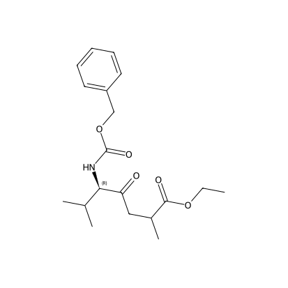 CCOC(=O)C(C)CC(=O)[C@H](NC(=O)OCc1ccccc1)C(C)C